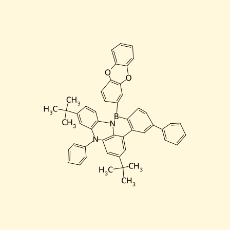 CC(C)(C)c1ccc2c(c1)N(c1ccccc1)c1cc(C(C)(C)C)cc3c1N2B(c1ccc2c(c1)Oc1ccccc1O2)c1ccc(-c2ccccc2)cc1-3